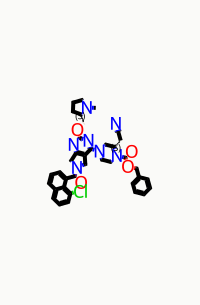 CN1CCC[C@H]1COc1nc2c(c(N3CCN(C(=O)OCc4ccccc4)[C@@H](CC#N)C3)n1)CN(C(=O)c1cccc3cccc(Cl)c13)C2